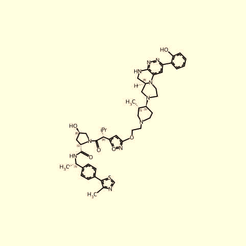 Cc1ncsc1-c1ccc([C@H](C)NC(=O)[C@@H]2C[C@@H](O)CN2C(=O)[C@@H](c2cc(OCCN3CC[C@H](N4CCN5c6cc(-c7ccccc7O)nnc6NC[C@@H]5C4)[C@@H](C)C3)no2)C(C)C)cc1